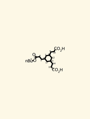 CCCCOC(=O)CCC1CC(CCC(=O)O)CC(CCC(=O)O)C1